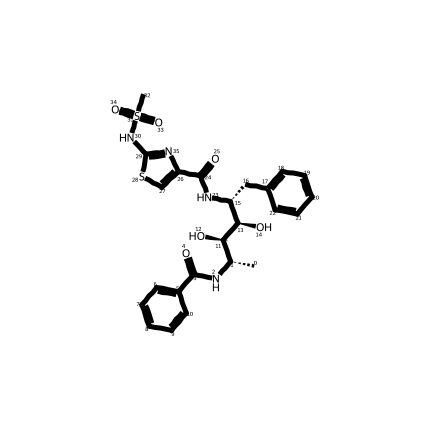 C[C@H](NC(=O)c1ccccc1)[C@@H](O)[C@H](O)[C@@H](Cc1ccccc1)NC(=O)c1csc(NS(C)(=O)=O)n1